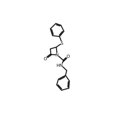 O=C1CC(Sc2ccccc2)N1C(=O)NCc1ccccc1